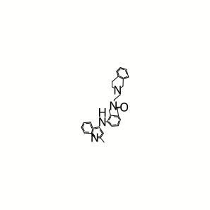 Cc1cc(Nc2cccc3c2CN(CCN2CCc4ccccc4C2)C3=O)c2ccccc2n1